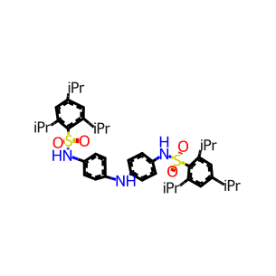 CC(C)c1cc(C(C)C)c(S(=O)(=O)Nc2ccc(Nc3ccc(NS(=O)(=O)c4c(C(C)C)cc(C(C)C)cc4C(C)C)cc3)cc2)c(C(C)C)c1